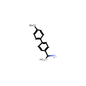 COc1ccc(-c2ccc(C(N)C(=O)O)cc2)cc1